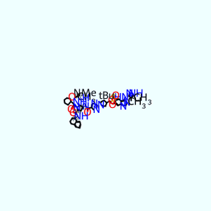 CN[C@@H](C)C(=O)NC(C(=O)N1C[C@@H](NC(=O)c2cnc(N3CCC(COc4cc5ncnc(Nc6n[nH]c(C)c6C)c5cc4S(=O)(=O)C(C)(C)C)CC3)nc2)C[C@H]1C(=O)N[C@@H]1CCCc2ccccc21)C1CCCCC1